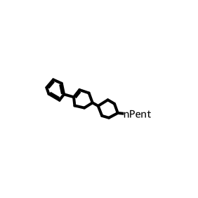 CCCCCC1CCC(C2CC=C(c3ccccc3)CC2)CC1